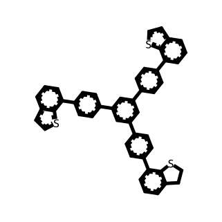 c1cc2c(c(-c3ccc(-c4cc(-c5ccc(-c6cccc7ccsc67)cc5)cc(-c5ccc(-c6cccc7ccsc67)cc5)c4)cc3)c1)SCC2